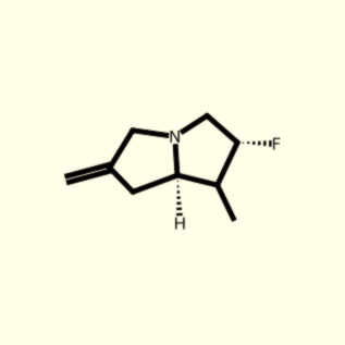 C=C1C[C@@H]2C(C)[C@@H](F)CN2C1